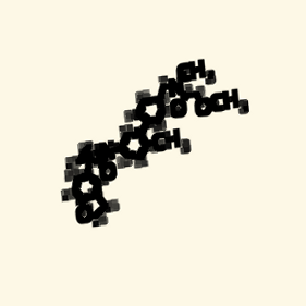 COCC(=O)N(C)Cc1ccc(-c2cc(NC(=O)C3(c4ccc5c(c4)CCO5)CC3)ccc2C)cc1